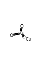 [Cu].[O]=[Au](=[O])=[O]